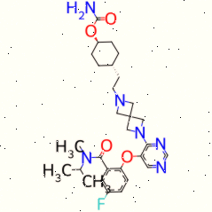 CC(C)N(C)C(=O)c1cc(F)ccc1Oc1cncnc1N1CC2(CN(CC[C@H]3CC[C@H](OC(N)=O)CC3)C2)C1